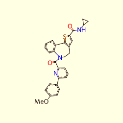 COc1ccc(-c2cccc(C(=O)N3CCc4cc(C(=O)NC5CC5)sc4-c4ccccc43)n2)cc1